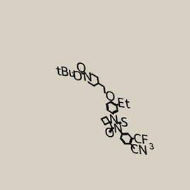 CCc1cc(N2C(=S)N(c3ccc(C#N)c(C(F)(F)F)c3)C(=O)C23CCC3)ccc1OCCC1CCN(C(=O)OC(C)(C)C)CC1